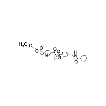 CCOCCOC(=O)Oc1ccc(C(=O)NS(=O)(=O)c2ccc(CCNC(=O)C3CCCCC3)cc2)cn1